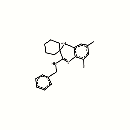 Cc1cc(C)c2c(c1)NC1(CCCCC1)C(NCc1ccccc1)=N2